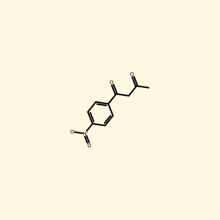 CC(=O)CC(=O)c1ccc([N+](=O)[O-])cc1